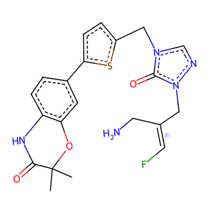 CC1(C)Oc2cc(-c3ccc(Cn4cnn(C/C(=C/F)CN)c4=O)s3)ccc2NC1=O